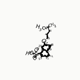 CN(C)CCCOc1ccc2cccc(S(=O)(=O)O)c2c1